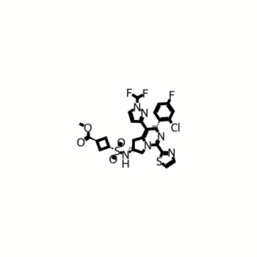 COC(=O)[C@H]1C[C@H](S(=O)(=O)N[C@H]2CC3=C(c4ccn(C(F)F)n4)[C@H](c4ccc(F)cc4Cl)N=C(c4nccs4)N3C2)C1